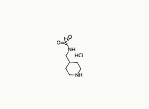 Cl.O=[SH](=O)NCC1CCNCC1